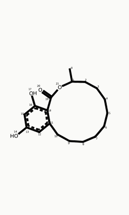 CC1CCCCCCCCCc2cc(O)cc(O)c2C(=O)O1